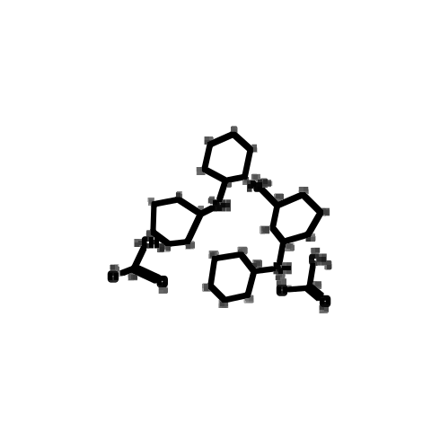 C1CCC(NC2CCCCC2)CC1.CC(=O)[O-].CC(=O)[O-].[Pd+2][CH]1CCCC(NC2CCCCC2)C1